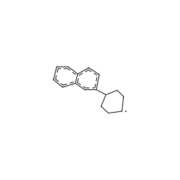 [CH]1CCC(c2ccc3ccccc3c2)CC1